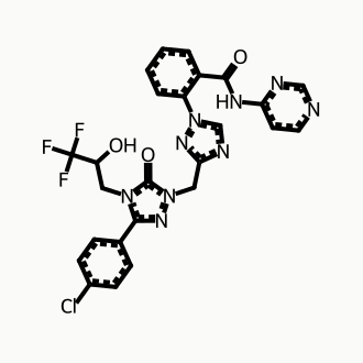 O=C(Nc1ccncn1)c1ccccc1-n1cnc(Cn2nc(-c3ccc(Cl)cc3)n(CC(O)C(F)(F)F)c2=O)n1